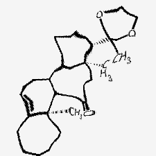 CC1([C@H]2CCC3C4CC=C5CCCC[C@]5(C)C4C(=O)C[C@@]32C)OCCO1